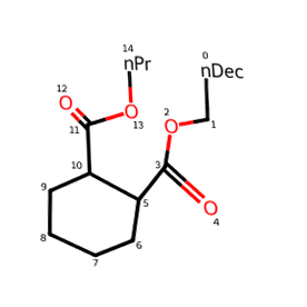 CCCCCCCCCCCOC(=O)C1CCCCC1C(=O)OCCC